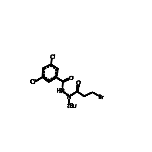 CC(C)(C)N(NC(=O)c1cc(Cl)cc(Cl)c1)C(=O)CCBr